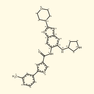 Cc1cc(-c2nc(C(=O)Nc3cc4oc(N5CCOCC5)nc4nc3NC3CCNC3)co2)ccn1